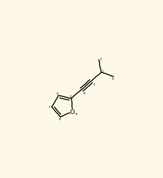 CC(C)C#Cc1ccco1